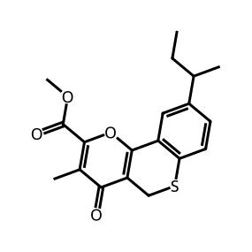 CCC(C)c1ccc2c(c1)-c1oc(C(=O)OC)c(C)c(=O)c1CS2